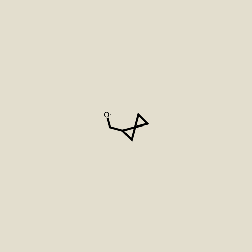 [O]CC1CC12CC2